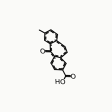 Cc1ccc2ccc3cc(C(=O)O)ccc3c(=O)c2c1